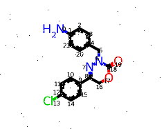 Nc1ccc(CN2N=C(c3ccc(Cl)cc3)COC2=O)cc1